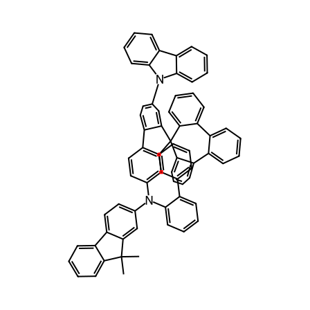 CC1(C)c2ccccc2-c2ccc(N(c3ccc4c(c3)C3(c5ccccc5-c5ccccc5-c5ccccc53)c3cc(-n5c6ccccc6c6ccccc65)ccc3-4)c3ccccc3-c3ccccc3)cc21